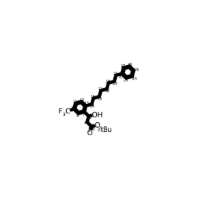 CC(C)(C)OC(=O)CC(O)c1cc(C(F)(F)F)ccc1CCCCCCCCc1ccccc1